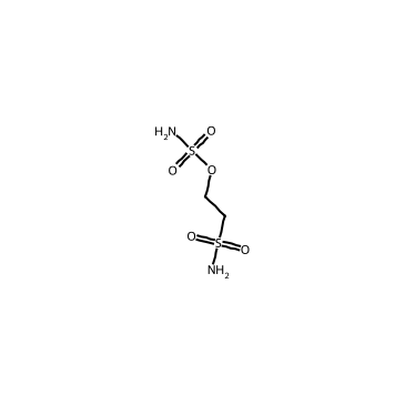 NS(=O)(=O)CCOS(N)(=O)=O